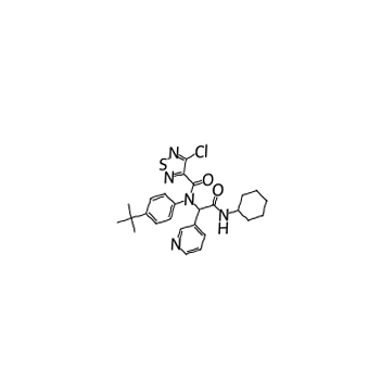 CC(C)(C)c1ccc(N(C(=O)c2nsnc2Cl)C(C(=O)NC2CCCCC2)c2cccnc2)cc1